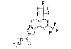 NNC(=O)c1cc2c3nc(C(F)(F)F)cc(C(F)(F)C(F)(F)F)c3ccn2c1